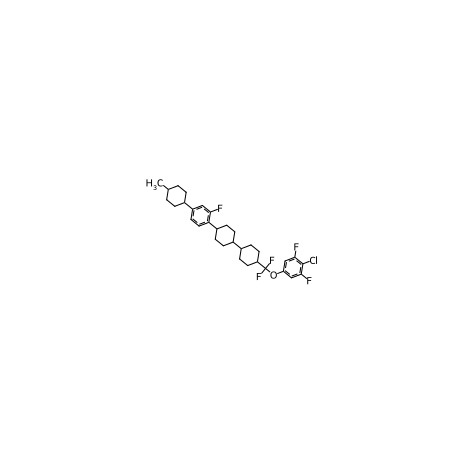 CC1CCC(c2ccc(C3CCC(C4CCC(C(F)(F)Oc5cc(F)c(Cl)c(F)c5)CC4)CC3)c(F)c2)CC1